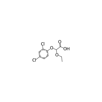 CCOC(Oc1ccc(Cl)cc1Cl)C(=O)O